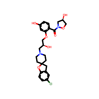 O=C(c1ccc(O)cc1OC[C@@H](O)CN1CCC2(CC1)Cc1cc(Cl)ccc1O2)N1C[C@@H](O)CO1